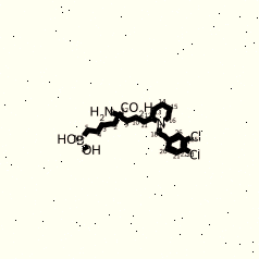 NC(CCCCB(O)O)(CCCC1CCCCN1Cc1ccc(Cl)c(Cl)c1)C(=O)O